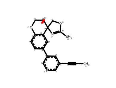 CC#Cc1cncc(-c2ccc3c(c2)C2(COC(N)=N2)C2(CCC2)CO3)c1